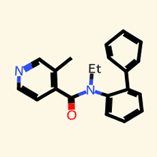 CCN(C(=O)c1ccncc1C)c1ccccc1-c1ccccc1